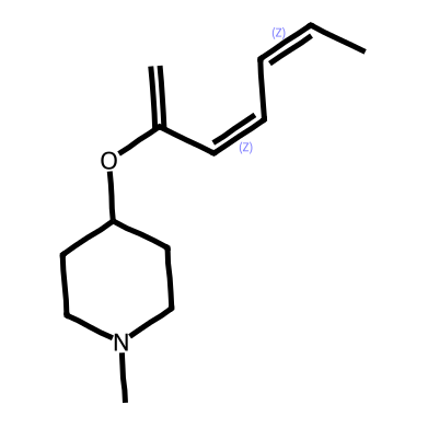 C=C(/C=C\C=C/C)OC1CCN(C)CC1